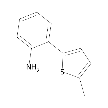 Cc1ccc(-c2ccccc2N)s1